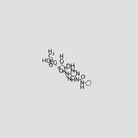 CCP(=O)(O)OC[C@H]1O[C@@H](n2cnc3c(NC(=O)NC4CCCC4)ncnc32)[C@@H](O)C1O